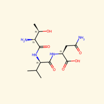 CC(C)[C@@H](NC(=O)[C@@H](N)[C@@H](C)O)C(=O)N[C@@H](CC(N)=O)C(=O)O